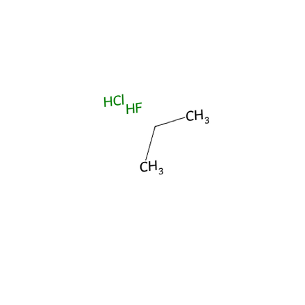 CCC.Cl.F